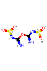 N=C(N=S(=O)=O)OC(=N)N=S(=O)=O